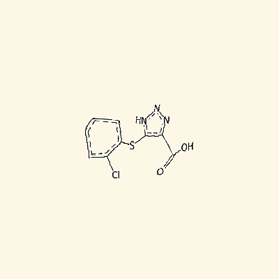 O=C(O)c1nn[nH]c1Sc1ccccc1Cl